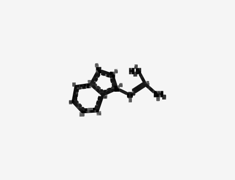 NC(N)=[O+]n1nnc2ccccc21